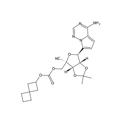 CC1(C)O[C@H]2[C@H](c3ccc4c(N)ncnn34)O[C@](C#N)(COC(=O)OC3CC4(CCC4)C3)[C@H]2O1